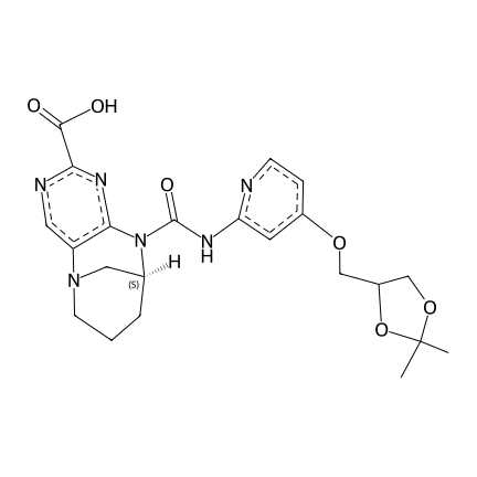 CC1(C)OCC(COc2ccnc(NC(=O)N3c4nc(C(=O)O)ncc4N4CCC[C@H]3C4)c2)O1